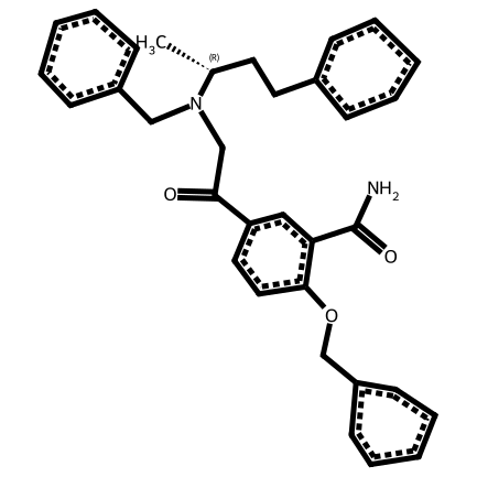 C[C@H](CCc1ccccc1)N(CC(=O)c1ccc(OCc2ccccc2)c(C(N)=O)c1)Cc1ccccc1